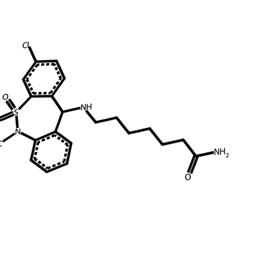 CN1c2ccccc2C(NCCCCCCC(N)=O)c2ccc(Cl)cc2S1(=O)=O